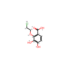 O=C(O)c1ccc(O)c(O)c1OCCCl